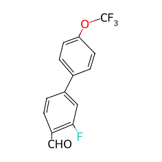 O=Cc1ccc(-c2ccc(OC(F)(F)F)cc2)cc1F